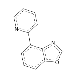 [c]1nc2c(-c3ccccn3)cccc2o1